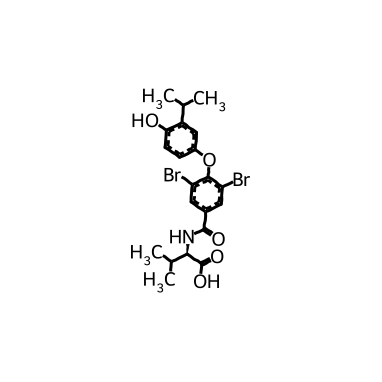 CC(C)c1cc(Oc2c(Br)cc(C(=O)N[C@@H](C(=O)O)C(C)C)cc2Br)ccc1O